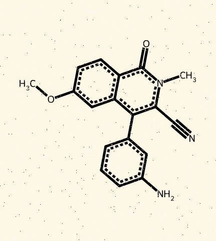 COc1ccc2c(=O)n(C)c(C#N)c(-c3cccc(N)c3)c2c1